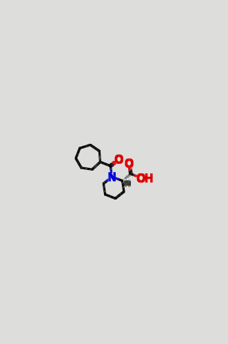 O=C(O)[C@@H]1CCCCN1C(=O)C1CCCCCC1